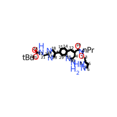 CCCN(OCc1ccn[nH]1)C(=O)C1=Cc2ccc(-c3cnc(CNC(=O)OC(C)(C)C)nc3)cc2N=C(N)C1